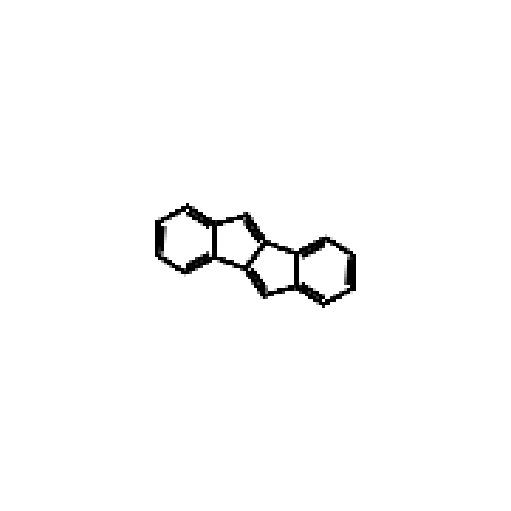 C1=C2C(=Cc3ccccc32)c2ccccc21